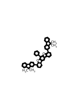 CC1(C)c2ccccc2-c2ccc(C3=CC=CC4c5cc6c(oc7c(-c8ccc9c(c8)C(C)(C)c8ccccc8-9)cccc76)c(-c6ccccc6)c5OC34)cc21